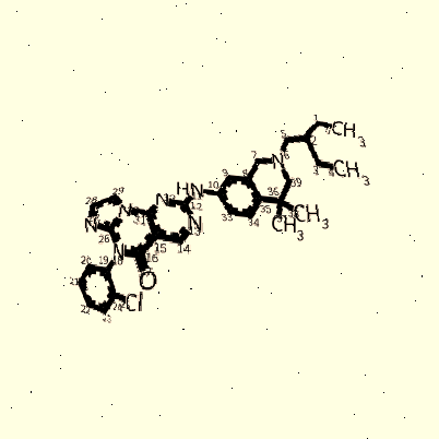 CCC(CC)CN1Cc2cc(Nc3ncc4c(=O)n(-c5ccccc5Cl)c5nccn5c4n3)ccc2C(C)(C)C1